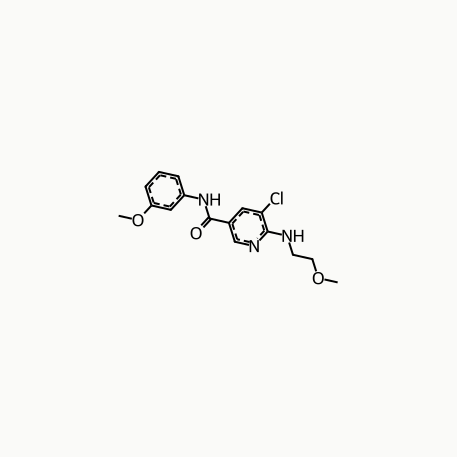 COCCNc1ncc(C(=O)Nc2cccc(OC)c2)cc1Cl